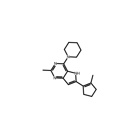 CC1=C(c2cc3nc(C)nc(N4CCCCC4)c3[nH]2)CCC1